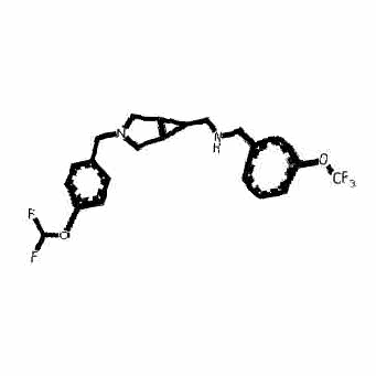 FC(F)Oc1ccc(CN2CC3C(CNCc4cccc(OC(F)(F)F)c4)C3C2)cc1